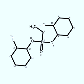 CCP(=O)(OC1CCCCC1F)OC1CCCCC1F